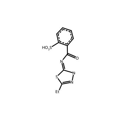 CCC1=N[N]C(=NC(=O)c2ccccc2S(=O)(=O)O)S1